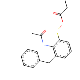 CCC(=O)OSc1cccc(Cc2ccccc2)c1NC(C)=O